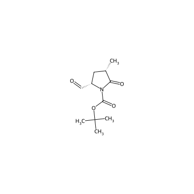 C[C@H]1C[C@@H](C=O)N(C(=O)OC(C)(C)C)C1=O